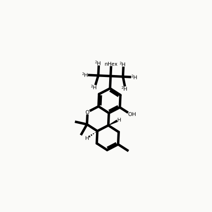 [2H]C([2H])([2H])C(CCCCCC)(c1cc(O)c2c(c1)OC(C)(C)[C@@H]1CC=C(C)C[C@@H]21)C([2H])([2H])[2H]